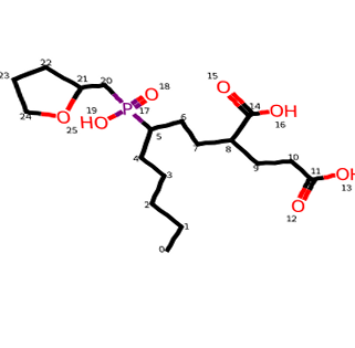 CCCCCC(CCC(CCC(=O)O)C(=O)O)P(=O)(O)CC1CCCO1